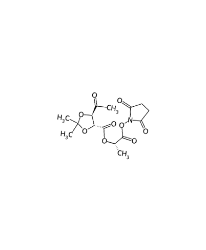 CC(=O)[C@@H]1OC(C)(C)O[C@H]1C(=O)O[C@@H](C)C(=O)ON1C(=O)CCC1=O